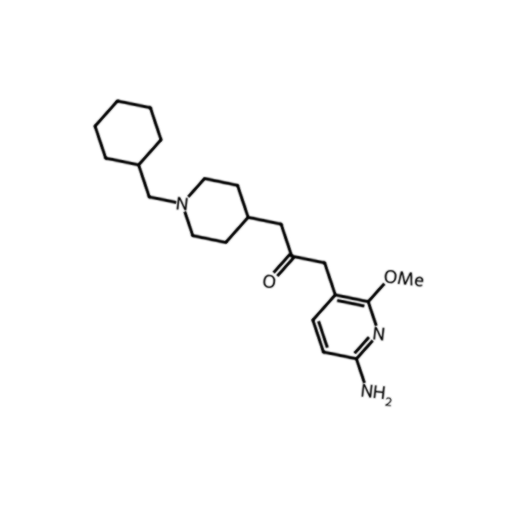 COc1nc(N)ccc1CC(=O)CC1CCN(CC2CCCCC2)CC1